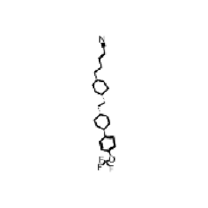 N#CC=CCC[C@H]1CC[C@H](CC[C@H]2CC[C@H](c3ccc(OC(F)(F)F)cc3)CC2)CC1